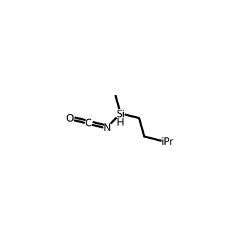 CC(C)CC[SiH](C)N=C=O